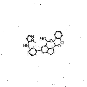 Cn1nccc1Nc1nccc(-c2cc3c(c(C(=O)O)c2)N(C(=O)Cc2ccccc2Cl)CC3)n1